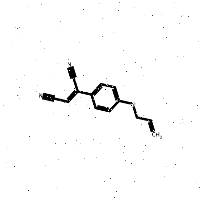 C=CC[N]c1ccc(/C(C#N)=C/C#N)cc1